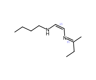 CCCCN/C=C\N=C(/C)CC